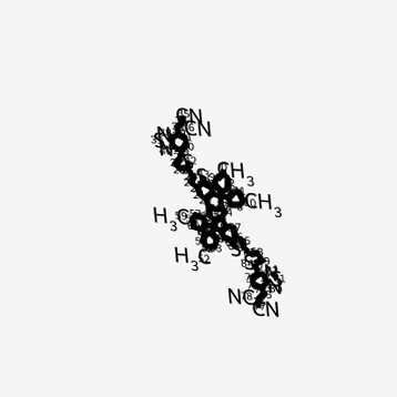 Cc1ccc(C2(c3ccc(C)cc3)C3=CC4=C(C=C(C3)c3cc5cc(-c6ccc(-c7ccc(C=C(C#N)C#N)c8nsnc78)s6)sc5cc32)C(c2ccc(C)cc2)(c2ccc(C)cc2)c2cc3sc(-c5ccc(-c6ccc(C=C(C#N)C#N)c7nsnc67)s5)cc3cc24)cc1